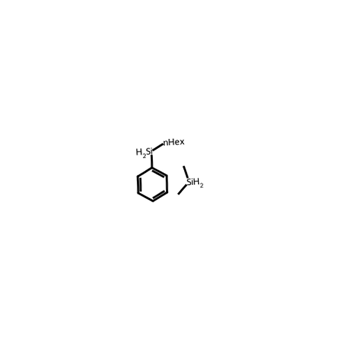 CCCCCC[SiH2]c1ccccc1.C[SiH2]C